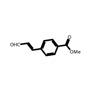 COC(=O)c1ccc(C=CC=O)cc1